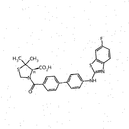 CC1(C)SCN(C(=O)c2ccc(-c3ccc(Nc4nc5ccc(F)cc5s4)cc3)cc2)[C@@H]1C(=O)O